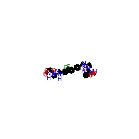 COC(=O)NC(C(=O)N1CCC[C@H]1c1ncc(-c2ccc3c(c2)C(F)(F)c2cc(-c4ccc(-c5cnc([C@@H]6CCCN6C(=O)[C@H](NC(=O)OC)c6ccccc6)[nH]5)cc4)ccc2-3)[nH]1)C(C)C